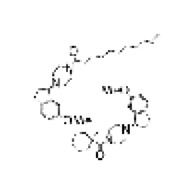 C=CCCCCCCCCC(=O)N1CCN(C2CCc3ccc(OC)cc32)CC1.COc1ccc2c(c1)C(N1CCN(C(=O)C3(C)CCCCC3)CC1)CC2